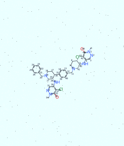 Cn1ncc(N[C@@H]2CCCN(Cc3ccc(C4CCN(Cc5ccccc5)C[C@H]4Nc4cnn(C)c(=O)c4Cl)cc3)C2)c(Cl)c1=O